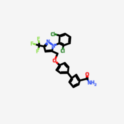 NC(=O)c1cccc(-c2ccc(OCc3cc(C(F)(F)F)nn3-c3c(Cl)cccc3Cl)cc2)c1